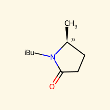 CCC(C)N1C(=O)CC[C@@H]1C